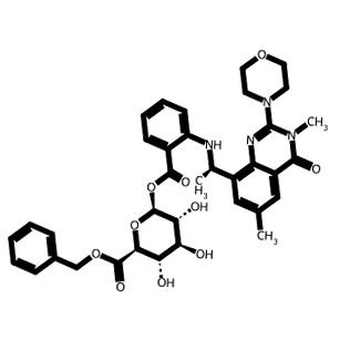 Cc1cc([C@@H](C)Nc2ccccc2C(=O)O[C@@H]2O[C@H](C(=O)OCc3ccccc3)[C@@H](O)[C@H](O)[C@H]2O)c2nc(N3CCOCC3)n(C)c(=O)c2c1